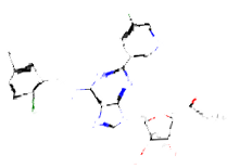 CNC(=O)[C@H]1O[C@@H](n2cnc3c(NCc4cc(C)ccc4F)nc(-c4cncc(F)c4)nc32)[C@H](O)[C@@H]1O